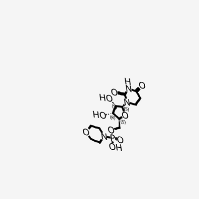 O=C1CCN([C@H]2O[C@@H](COP(=O)(O)N3CCOCC3)[C@H](O)[C@@H]2O)C(=O)N1